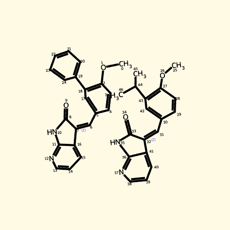 COc1ccc(/C=C2\C(=O)Nc3ncccc32)cc1-c1ccccc1.COc1ccc(/C=C2\C(=O)Nc3ncccc32)cc1C(C)C